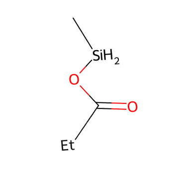 CCC(=O)O[SiH2]C